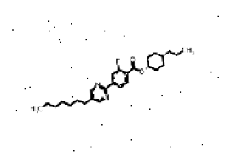 CCCCCCCc1cnc(-c2ccc(C(=O)O[C@H]3CC[C@H](CCC)CC3)c(F)c2)nc1